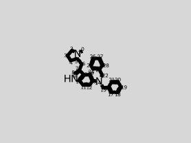 CN1CCCC1Cc1c[nH]c2ccc(N(Cc3ccccc3)Cc3ccccc3)cc12